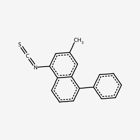 Cc1cc(N=C=S)c2cccc(-c3ccccc3)c2c1